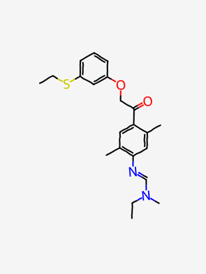 CCSc1cccc(OCC(=O)c2cc(C)c(/N=C/N(C)CC)cc2C)c1